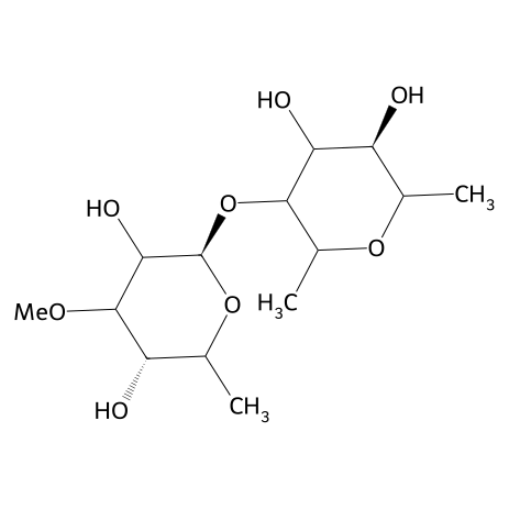 COC1C(O)[C@@H](OC2C(C)OC(C)[C@H](O)C2O)OC(C)[C@@H]1O